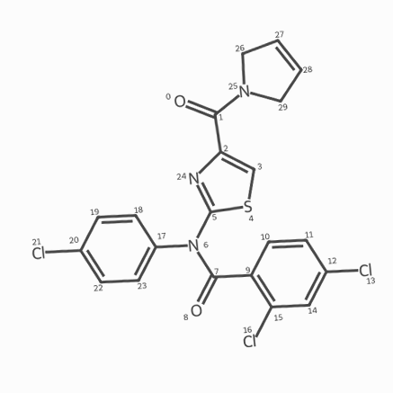 O=C(c1csc(N(C(=O)c2ccc(Cl)cc2Cl)c2ccc(Cl)cc2)n1)N1CC=CC1